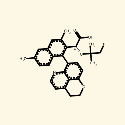 Cc1ccc2c(-c3ccc4c5c(ccnc35)CCO4)c([C@@H](OC(C)(C)CF)C(=O)O)c(C)cc2c1